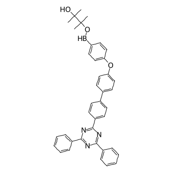 CC(C)(O)C(C)(C)OBc1ccc(Oc2ccc(-c3ccc(-c4nc(-c5ccccc5)nc(-c5ccccc5)n4)cc3)cc2)cc1